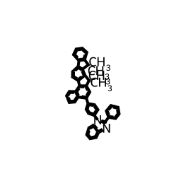 CC1(C)c2ccccc2-c2ccc3c(c21)C(C)(C)c1cc(-c2ccc(-n4c(-c5ccccc5)nc5ccccc54)cc2)c2ccccc2c1-3